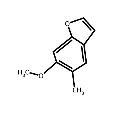 COc1cc2occc2cc1C